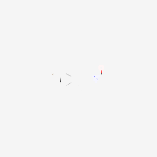 CC(=O)N1CCC2(CC1)CC2c1ccc(Br)cc1